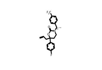 C=CCC1(c2ccc(F)cc2)CCN([C@@H](C)c2ccc(C(F)(F)F)cc2)C(=O)O1